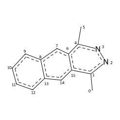 Cc1nnc(C)c2cc3ccccc3cc12